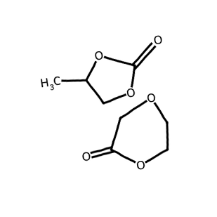 CC1COC(=O)O1.O=C1COCCO1